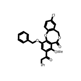 COc1c(C(=O)CC(C)C)cc(OCc2ccccc2)c2c1C(=O)OCc1cc(Cl)ccc1O2